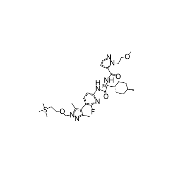 COCCn1nccc1C(=O)N[C@H](C(=O)Nc1ccc(-c2c(C)nn(COCCS(C)(C)C)c2C)c(F)n1)[C@H]1CC[C@H](C)CC1